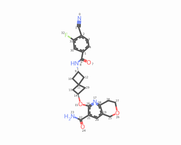 N#Cc1ccc(C(=O)N[C@H]2CC3(C2)C[C@H](Oc2nc4c(cc2C(N)=O)COCC4)C3)cc1F